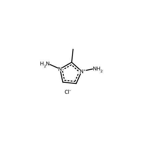 Cc1n(N)cc[n+]1N.[Cl-]